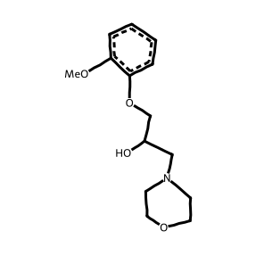 COc1ccccc1OCC(O)CN1CCOCC1